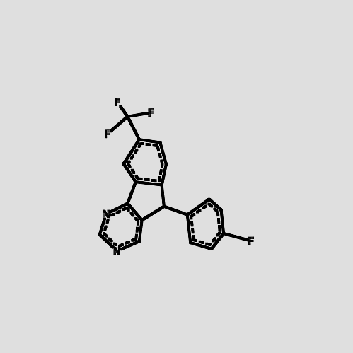 Fc1ccc(C2c3ccc(C(F)(F)F)cc3-c3ncncc32)cc1